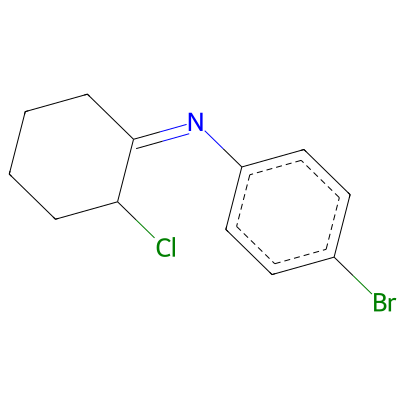 ClC1CCCCC1=Nc1ccc(Br)cc1